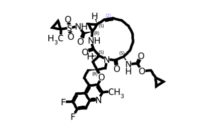 Cc1nc2cc(F)c(F)cc2c2c1O[C@]1(CC2)C[C@H]2C(=O)N[C@]3(C(=O)NS(=O)(=O)C4(C)CC4)C[C@H]3/C=C\CCCCC[C@H](NC(=O)OCC3CC3)C(=O)N2C1